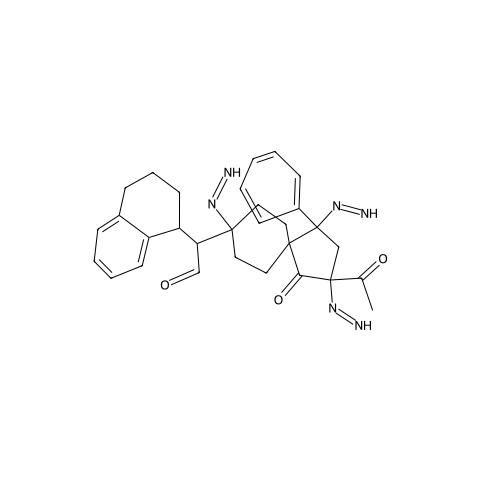 CC(=O)C1(N=N)CC(N=N)(c2ccccc2)C2(CCC(N=N)(C(C=O)C3CCCc4ccccc43)CC2)C1=O